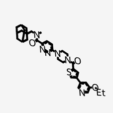 CCOc1cncc(-c2csc(C(=O)N3CCN(c4ccc(C(=O)N(C)CC56CC7CC(CC(C7)C5)C6)nn4)CC3)c2)c1